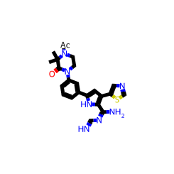 CC(=O)N1CCN(c2cccc(-c3cc(-c4cncs4)c(/C(N)=N\C=N)[nH]3)c2)C(=O)C1(C)C